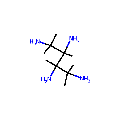 CC(C)(N)C(C)(N)C(C)(N)C(C)(C)N